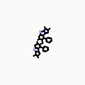 CC1=C(C)C2=Nc3cc(C)c(Cc4c(C)cc5c(c4-c4ccccc4)C4=CC(C)=C(C)C4=N5)c(-c4ccccc4)c3C2=C1